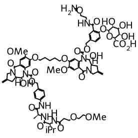 C=C1C[C@H]2C(O)N(C(=O)OCc3ccc(NC(=O)[C@H](C)NC(=O)[C@@H](NC(=O)CCOCCOC)C(C)C)cc3)c3cc(OCCCCCOc4cc5c(cc4OC)C(=O)N4CC(=C)C[C@H]4C(O)N5C(=O)OCc4ccc(O[C@@H]5O[C@H](C(=O)O)[C@@H](O)[C@H](O)[C@H]5O)c(C(=O)NCCON)c4)c(OC)cc3C(=O)N2C1